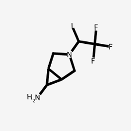 NC1C2CN(C(I)C(F)(F)F)CC12